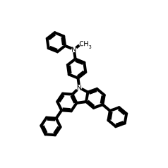 CN(c1ccccc1)c1ccc(-n2c3ccc(-c4ccccc4)cc3c3cc(-c4ccccc4)ccc32)cc1